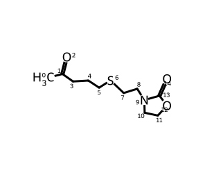 CC(=O)CCCSCCN1CCOC1=O